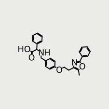 Cc1oc(-c2ccccc2)nc1CCOc1ccc(CNC(C(=O)O)c2ccccc2)cc1